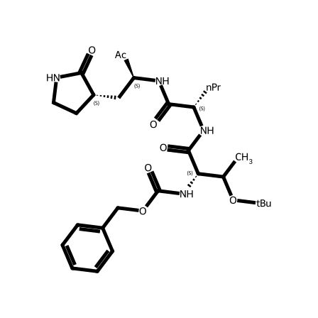 CCC[C@H](NC(=O)[C@@H](NC(=O)OCc1ccccc1)C(C)OC(C)(C)C)C(=O)N[C@@H](C[C@@H]1CCNC1=O)C(C)=O